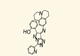 Oc1ccccc1C1=Nn2c(nnc2-c2ccccn2)/C1=N/c1cc2c3c(c1)CCCN3CCC2